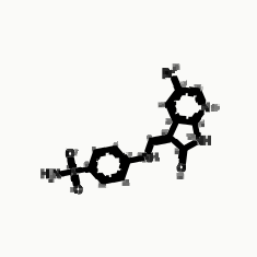 NS(=O)(=O)c1ccc(NC=C2C(=O)Nc3ncc(Br)cc32)cc1